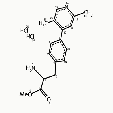 COC(=O)C(N)Cc1ccc(-c2cc(C)ncc2C)cc1.Cl.Cl